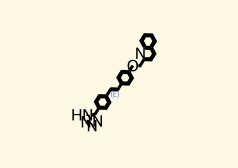 C(=C\c1ccc(-c2nnn[nH]2)cc1)/c1ccc(OCc2ccc3ccccc3n2)cc1